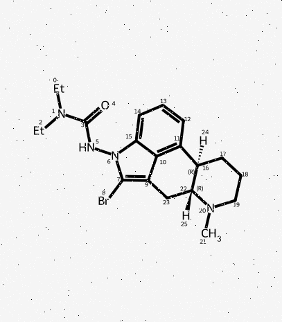 CCN(CC)C(=O)Nn1c(Br)c2c3c(cccc31)[C@H]1CCCN(C)[C@@H]1C2